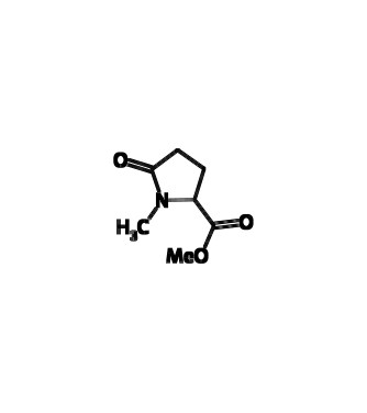 COC(=O)C1CCC(=O)N1C